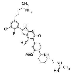 CSc1cc(-n2c(C)c3cc(-c4cc(CCC[C@H](C)N)cc(Cl)c4F)[nH]c3nc2=O)ccc1[C@@H]1CCC[C@@H](CCNC(C)=N)N1